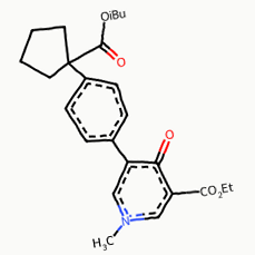 CCOC(=O)c1cn(C)cc(-c2ccc(C3(C(=O)OCC(C)C)CCCC3)cc2)c1=O